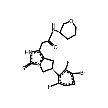 O=C(Cc1[nH]c(=S)n2c1C[C@@H](c1c(F)ccc(Br)c1F)C2)N[C@@H]1CCCOC1